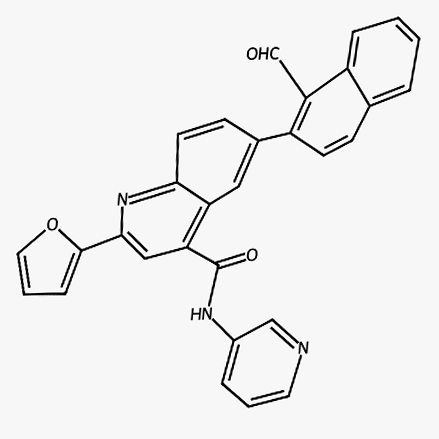 O=Cc1c(-c2ccc3nc(-c4ccco4)cc(C(=O)Nc4cccnc4)c3c2)ccc2ccccc12